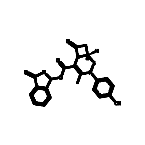 CC1=C(C(=O)OC2OC(=O)c3ccccc32)N2C(=O)C[C@H]2SN1c1ccc(C#N)cc1